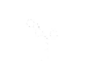 C1=C(C2CC3CCC2C3)CCC(N(c2ccc(C3CCCCC3)cc2)c2ccc3c(c2)oc2ccccc23)=C1